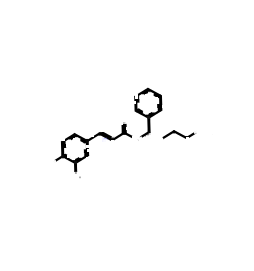 CCCC[C@H](NC(=O)/C=C/c1ccc(O)c(O)c1)c1ccccc1